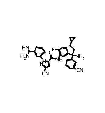 N#Cc1cccc(C(N)(CCC2CC2)c2ccc(F)c(NC(=O)c3cc(C#N)nn3-c3cccc(C(=N)N)c3)c2)c1